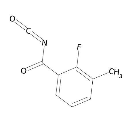 Cc1cccc(C(=O)N=C=O)c1F